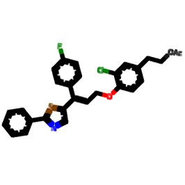 CC(=O)OCCc1ccc(OC/C=C(\c2ccc(F)cc2)c2cnc(-c3ccccc3)s2)c(Cl)c1